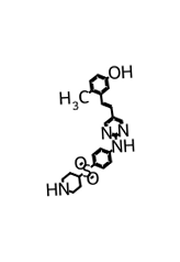 Cc1ccc(O)cc1/C=C/c1cnc(Nc2ccc(S(=O)(=O)C3CCNCC3)cc2)nc1